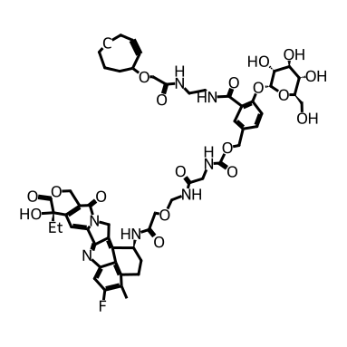 CC[C@@]1(O)C(=O)OCc2c1cc1n(c2=O)Cc2c-1nc1cc(F)c(C)c3c1c2[C@@H](NC(=O)COCNC(=O)CNC(=O)OCc1ccc(O[C@H]2O[C@H](CO)[C@@H](O)[C@H](O)[C@H]2O)c(C(=O)NCCNC(=O)COC2C#CCCCCC2)c1)CC3